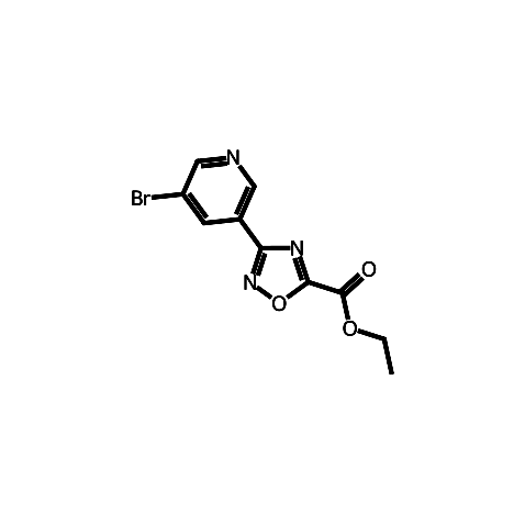 CCOC(=O)c1nc(-c2cncc(Br)c2)no1